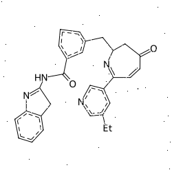 CCc1cncc(C2=NC(Cc3cccc(C(=O)NC4=Nc5ccccc5C4)c3)CC(=O)C=C2)c1